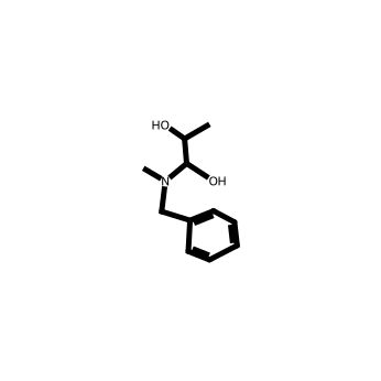 CC(O)C(O)N(C)Cc1ccccc1